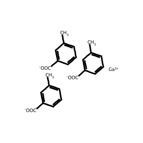 Cc1cccc(C(=O)[O-])c1.Cc1cccc(C(=O)[O-])c1.Cc1cccc(C(=O)[O-])c1.[Ga+3]